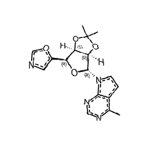 Cc1ncnc2c1ccn2[C@@H]1O[C@@H](c2cnco2)[C@H]2OC(C)(C)O[C@H]21